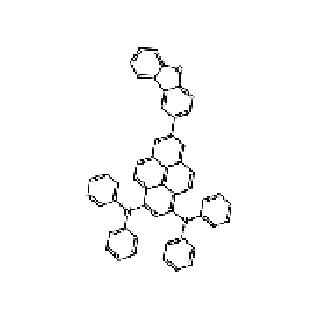 c1ccc(N(c2ccccc2)c2cc(N(c3ccccc3)c3ccccc3)c3ccc4cc(-c5ccc6oc7ccccc7c6c5)cc5ccc2c3c54)cc1